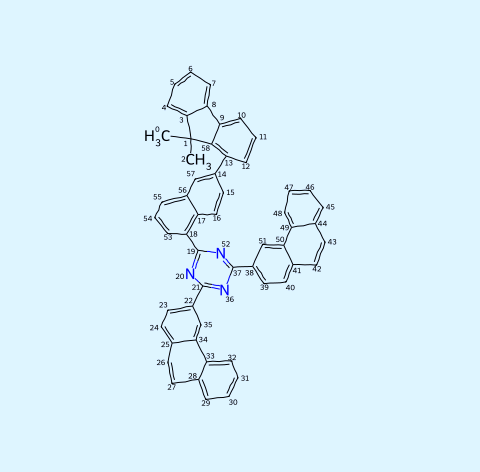 CC1(C)c2ccccc2-c2cccc(-c3ccc4c(-c5nc(-c6ccc7ccc8ccccc8c7c6)nc(-c6ccc7ccc8ccccc8c7c6)n5)cccc4c3)c21